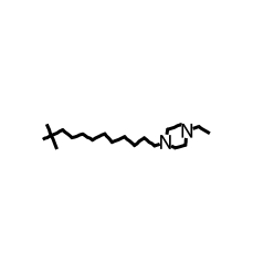 CCN1CCN(CCCCCCCCCCC(C)(C)C)CC1